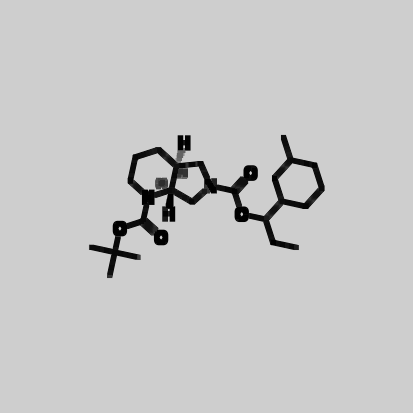 CCC(OC(=O)N1C[C@@H]2CCCN(C(=O)OC(C)(C)C)[C@H]2C1)C1CCCC(C)C1